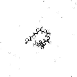 COCCOCCOC(C)COC(C)COC(C)COP(=O)(O)O